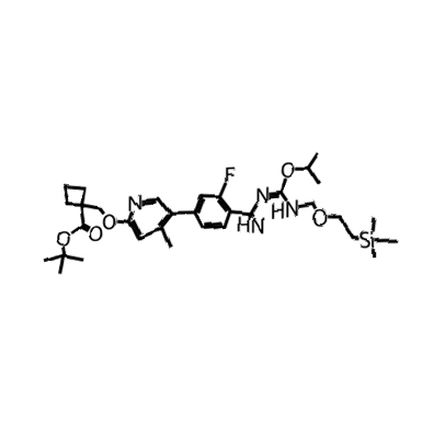 Cc1cc(OCC2(C(=O)OC(C)(C)C)CCC2)ncc1-c1ccc(C(=N)/N=C(\NCOCC[Si](C)(C)C)OC(C)C)c(F)c1